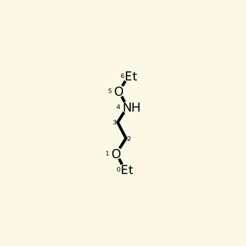 CCOCCNOCC